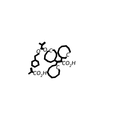 C=C(C)C(=O)O.C=C(C)C(=O)OCCC1CCCCC1.O=C(O)C(=C(C1CCCCCCCCC1)C1CCCCCCCCC1)C1CCCCCCCCC1